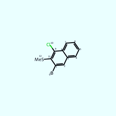 [B]c1cc2ccccc2c(Cl)c1SC